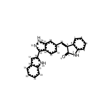 O=C1Nc2ccccc2/C1=C/c1ccc2c(-c3cc4ccccc4[nH]3)n[nH]c2c1